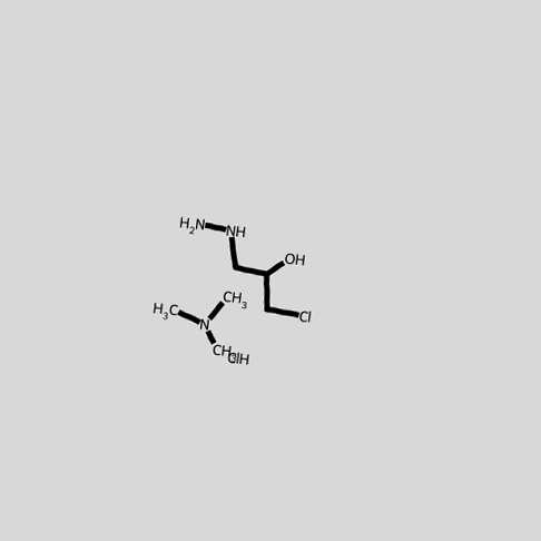 CN(C)C.Cl.NNCC(O)CCl